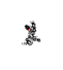 CC(NP(=O)(OC[C@@H]1C[C@@H](OP(=O)(NC(C)C(=O)OCc2ccccc2)Oc2ccccc2)[C@H](n2cnc3c(N)ncnc32)O1)Oc1ccccc1)C(=O)OCc1ccccc1